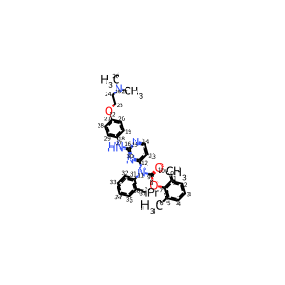 Cc1cccc(C)c1OC(=O)N(c1ccnc(Nc2ccc(OCCN(C)C)cc2)n1)c1ccccc1C(C)C